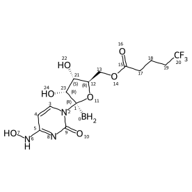 B[C@@]1(n2ccc(NO)nc2=O)O[C@H](COC(=O)CCCC(F)(F)F)[C@@H](O)[C@H]1O